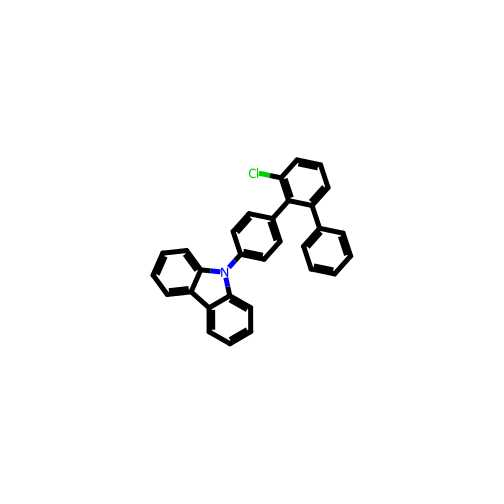 Clc1cccc(-c2ccccc2)c1-c1ccc(-n2c3ccccc3c3ccccc32)cc1